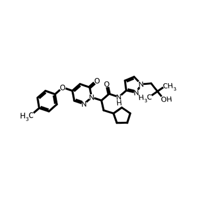 Cc1ccc(Oc2cnn(C(CC3CCCC3)C(=O)Nc3ccn(CC(C)(C)O)n3)c(=O)c2)cc1